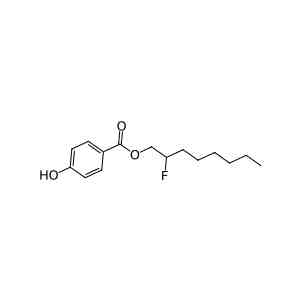 CCCCCCC(F)COC(=O)c1ccc(O)cc1